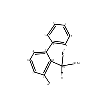 Cc1cccc(-c2ccccc2)c1C(F)(F)F